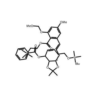 COCOc1cc(OC)cc(/C=C/CC2OC(C)(C)OC2C(/C=C\[C@@H](C)CO[Si](C)(C)C(C)(C)C)OC(=O)c2ccccc2)c1C(=O)OCC[Si](C)(C)C